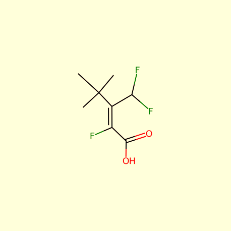 CC(C)(C)C(=C(F)C(=O)O)C(F)F